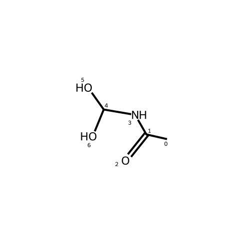 CC(=O)NC(O)O